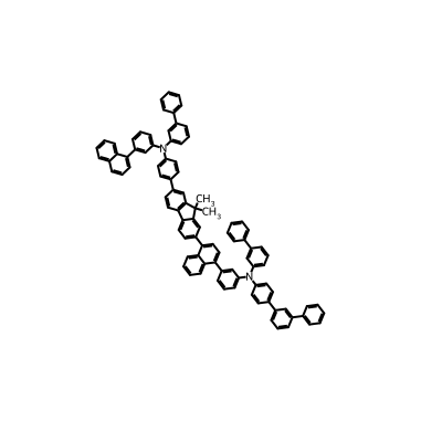 CC1(C)c2cc(-c3ccc(N(c4cccc(-c5ccccc5)c4)c4cccc(-c5cccc6ccccc56)c4)cc3)ccc2-c2ccc(-c3ccc(-c4cccc(N(c5ccc(-c6cccc(-c7ccccc7)c6)cc5)c5cccc(-c6ccccc6)c5)c4)c4ccccc34)cc21